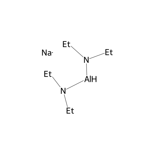 CC[N](CC)[AlH][N](CC)CC.[Na]